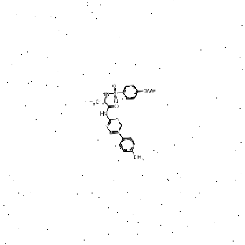 COc1ccc(S(=O)(=O)N[C@@H](C)C(=O)NC2=NN=C(c3ccc(C)cc3)CS2)cc1